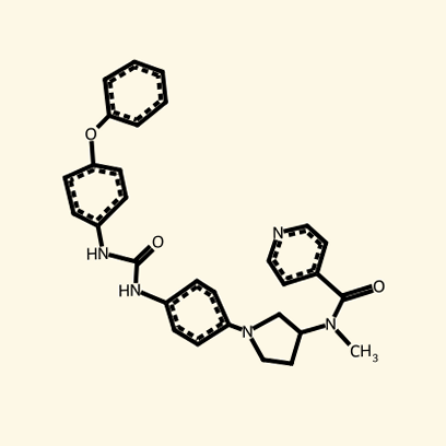 CN(C(=O)c1ccncc1)C1CCN(c2ccc(NC(=O)Nc3ccc(Oc4ccccc4)cc3)cc2)C1